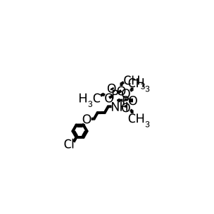 CCOP(=O)(OCC)C(NCCCCOc1ccc(Cl)cc1)P(=O)(OCC)OCC